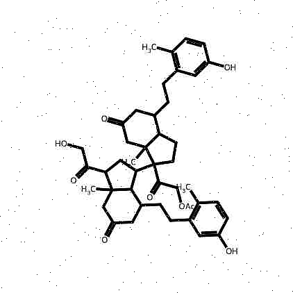 CC(=O)OCC(=O)C1(C2CC(C(=O)CO)C3(C)CC(=O)CC(CCc4cc(O)ccc4C)C23)CCC2C(CCc3cc(O)ccc3C)CC(=O)CC21C